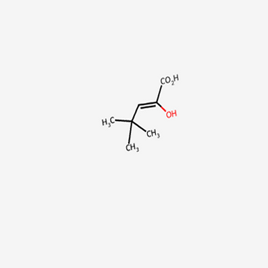 CC(C)(C)C=C(O)C(=O)O